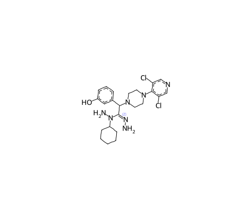 N/N=C(/C(c1cccc(O)c1)N1CCN(c2c(Cl)cncc2Cl)CC1)N(N)C1CCCCC1